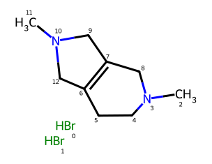 Br.Br.CN1CCC2=C(C1)CN(C)C2